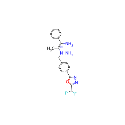 C/C(=C(/N)c1ccccc1)N(N)Cc1ccc(-c2nnc(C(F)F)o2)cc1